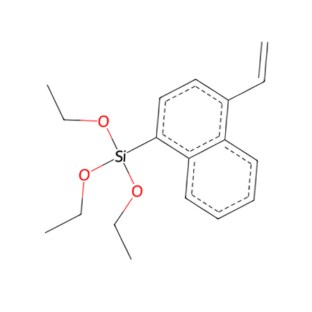 C=Cc1ccc([Si](OCC)(OCC)OCC)c2ccccc12